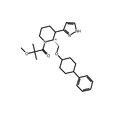 COC(C)(C)C(=O)N1CCCC(c2cc[nH]n2)[C@@H]1COC1CCC(c2ccccc2)CC1